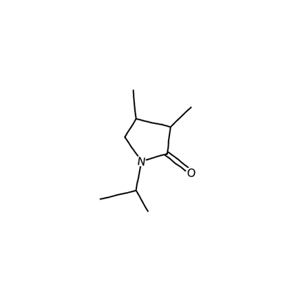 CC1CN(C(C)C)C(=O)C1C